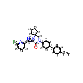 CCCc1ccc(-c2ccc(N(CC3(N)CCCC3)C(=O)[C@H]3C[C@@H]3c3cccc(F)n3)cc2)cc1